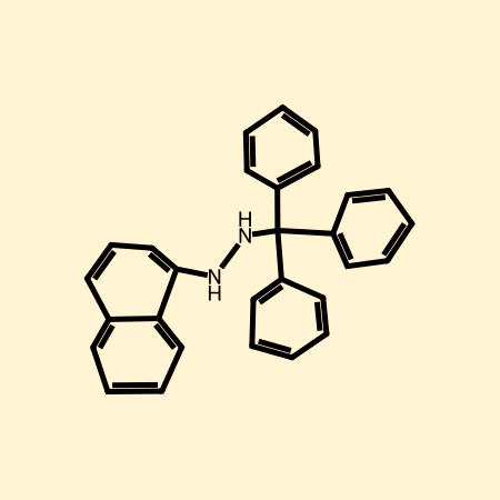 c1ccc(C(NNc2cccc3ccccc23)(c2ccccc2)c2ccccc2)cc1